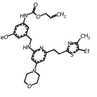 C=CCOC(=O)Nc1cc(CNc2cc(N3CCOCC3)cc(CCc3nc(C)c(CC)s3)n2)cc(OC)c1